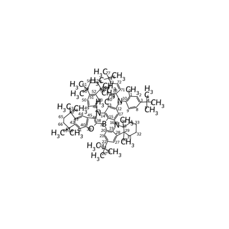 Cc1cc(C(C)(C)C)ccc1N(c1cc2c3c(c1)N1c4c(cc(C(C)(C)C)cc4C4(C)CCCCC14C)B3c1oc3cc4c(cc3c1N2c1ccc2c(c1)C(C)(C)CCC2(C)C)C(C)(C)CCC4(C)C)c1ccc(C(C)(C)C)cc1C